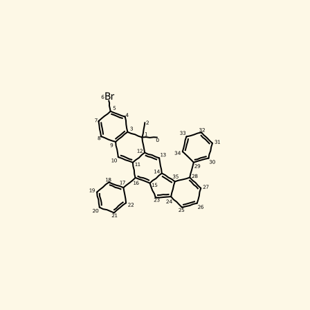 CC1(C)c2cc(Br)ccc2C=c2c1cc1c(c2-c2ccccc2)C=c2cccc(-c3ccccc3)c2=1